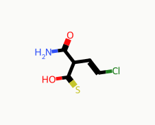 NC(=O)C(C=CCl)C(O)=S